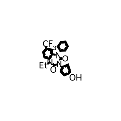 CCN1C(=O)N(c2ccc(O)cc2)C(=O)N(c2ccccc2)c2cc(C(F)(F)F)ccc21